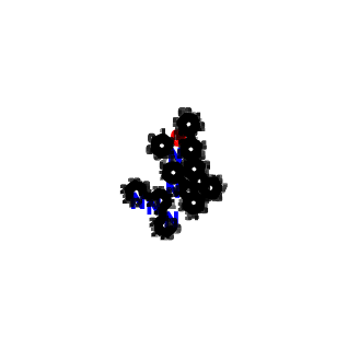 c1ccc(N(c2ccc3c(c2)c2c(n3-c3cc(-c4ccccn4)nc(-c4ccccn4)c3)-c3ccccc3C23c2ccccc2-c2ccccc23)c2cccc3c2oc2ccccc23)cc1